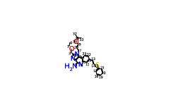 CCOCc1nc2c(N)nc3cc(C=CSc4ccccc4)ccc3c2n1CCCOC(C)C